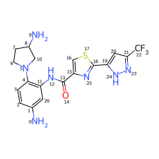 Nc1ccc(N2CCC(N)C2)c(NC(=O)c2csc(-c3cc(C(F)(F)F)n[nH]3)n2)c1